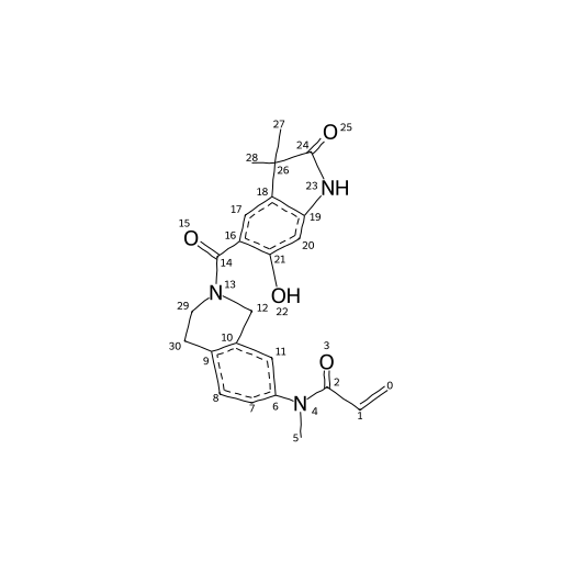 C=CC(=O)N(C)c1ccc2c(c1)CN(C(=O)c1cc3c(cc1O)NC(=O)C3(C)C)CC2